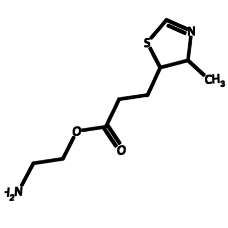 CC1N=CSC1CCC(=O)OCCN